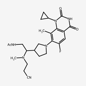 CC(=O)NCC(C1CCN(c2c(F)cc3c(=O)[nH]c(=O)n(C4CC4)c3c2C)C1)N(C)CCC#N